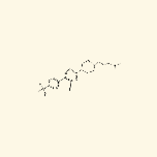 CC(C)CCCC1CCC(c2ccc(-c3ccc(C(F)(F)F)cc3)c(F)c2)CC1